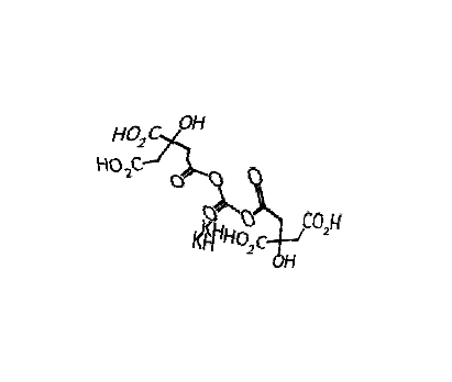 O=C(O)CC(O)(CC(=O)OC(=O)OC(=O)CC(O)(CC(=O)O)C(=O)O)C(=O)O.[KH].[KH]